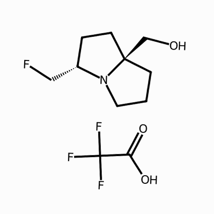 O=C(O)C(F)(F)F.OC[C@@]12CCCN1[C@H](CF)CC2